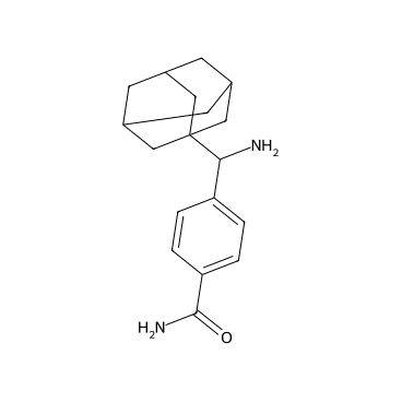 NC(=O)c1ccc(C(N)C23CC4CC(CC(C4)C2)C3)cc1